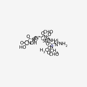 CC(C)(OC=O)O/N=C(\C(=O)N[C@@H]1C(=O)N2C(OC=O)=C(C[N+]34CCC(CC3)N(C(=O)c3cc(=O)c(O)cn3O)CC4)CS[C@H]12)c1csc(N)n1